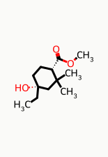 CC[C@@]1(O)CC[C@H](C(=O)OC)C(C)(C)C1